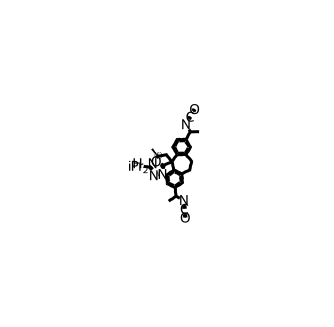 CC(C)c1nnc(C2(C[C@H](C)N)c3ccc(C(C)N=C=O)cc3CCc3cc(C(C)N=C=O)ccc32)o1